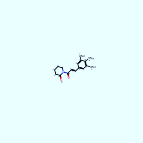 COc1cc(/C=C/C(=O)N2CCCCC2=O)cc(OC)c1OC